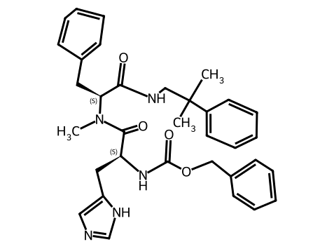 CN(C(=O)[C@H](Cc1cnc[nH]1)NC(=O)OCc1ccccc1)[C@@H](Cc1ccccc1)C(=O)NCC(C)(C)c1ccccc1